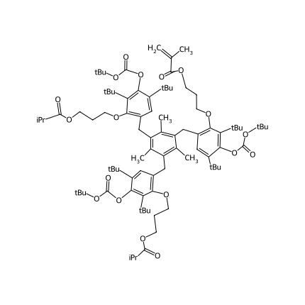 C=C(C)C(=O)OCCCOc1c(Cc2c(C)c(Cc3cc(C(C)(C)C)c(OC(=O)OC(C)(C)C)c(C(C)(C)C)c3OCCCOC(=O)C(C)C)c(C)c(Cc3cc(C(C)(C)C)c(OC(=O)OC(C)(C)C)c(C(C)(C)C)c3OCCCOC(=O)C(C)C)c2C)cc(C(C)(C)C)c(OC(=O)OC(C)(C)C)c1C(C)(C)C